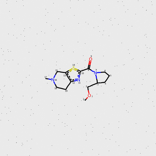 COCC1CCCN1C(=O)c1nc2c(s1)CN(C)CC2